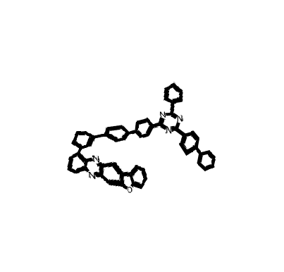 c1ccc(-c2ccc(-c3nc(-c4ccccc4)nc(-c4ccc(-c5ccc(-c6cccc(-c7cccc8nc9cc%10oc%11ccccc%11c%10cc9nc78)c6)cc5)cc4)n3)cc2)cc1